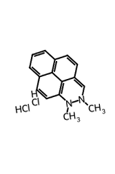 Cl.Cl.Cn1cc2ccc3cccc4ccc(c2c34)n1C